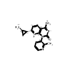 Cc1ncccc1-n1c(=O)nc(N)c2ccc([C@@H]3C[C@H]3C)nc21